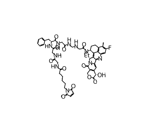 CCN(C(=O)CNCNC(=O)CNC(=O)[C@H](Cc1ccccc1)NC(=O)CNC(=O)CNC(=O)CCCCCN1C(=O)C=CC1=O)[C@H]1CCc2c(C)c(F)cc3nc4c(c1c23)Cn1c-4cc2c(c1=O)COC(=O)[C@H]2O